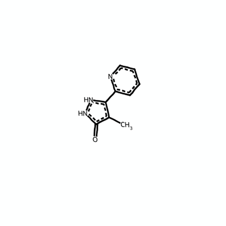 Cc1c(-c2ccccn2)[nH][nH]c1=O